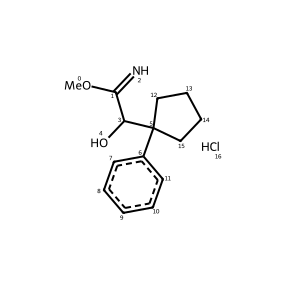 COC(=N)C(O)C1(c2ccccc2)CCCC1.Cl